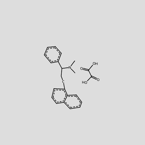 CN(C)C(CCc1cccc2ccccc12)c1ccccc1.O=C(O)C(=O)O